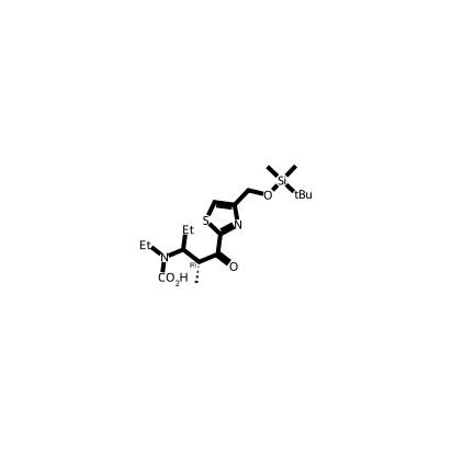 CCC([C@@H](C)C(=O)c1nc(CO[Si](C)(C)C(C)(C)C)cs1)N(CC)C(=O)O